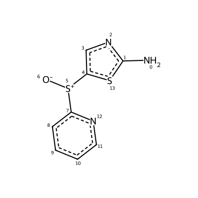 Nc1ncc([S+]([O-])c2ccccn2)s1